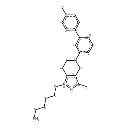 Cc1ccc(-c2cc(N3CCc4c(c(C)nn4CCCCCN)C3)ccn2)cc1